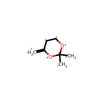 C=C1CCOC(C)(C)O1